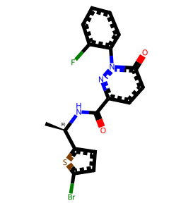 C[C@@H](NC(=O)c1ccc(=O)n(-c2ccccc2F)n1)c1ccc(Br)s1